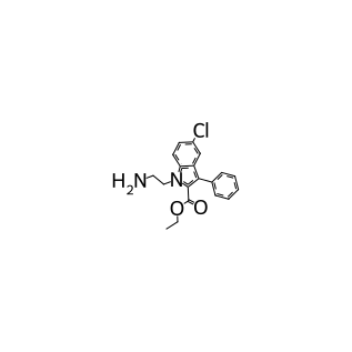 CCOC(=O)c1c(-c2ccccc2)c2cc(Cl)ccc2n1CCN